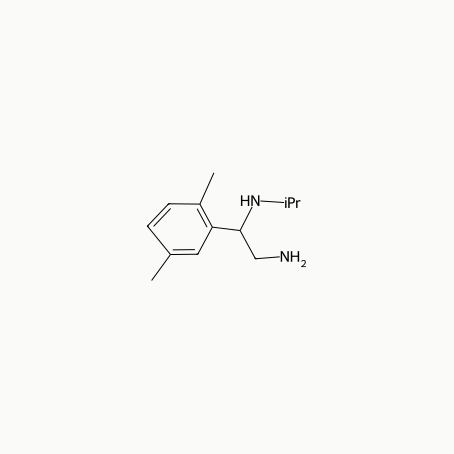 Cc1ccc(C)c(C(CN)NC(C)C)c1